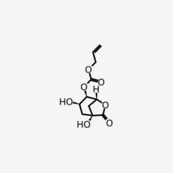 C=CCOC(=O)O[C@@H]1[C@H](O)C[C@]2(O)C[C@H]1OC2=O